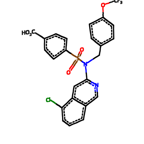 O=C(O)c1ccc(S(=O)(=O)N(Cc2ccc(OC(F)(F)F)cc2)c2cc3c(Cl)cccc3cn2)cc1